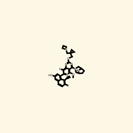 C#Cc1c(F)ccc2cc(O)cc(-c3nc(OC)c4c(N5CC6CCC(C5)N6)nc(OCC5(CN6CCC6)CC5)nc4c3F)c12